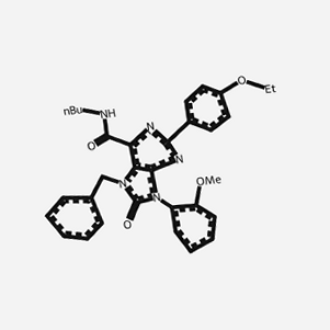 CCCCNC(=O)c1nc(-c2ccc(OCC)cc2)nc2c1n(Cc1ccccc1)c(=O)n2-c1ccccc1OC